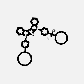 CC(C)(c1ccc(-n2c3ccccc3c3c4c5ccccc5n(-c5ccc(C6CCCCCCCCCC6)cc5)c4oc32)cc1)C1CCCCCCCCC1